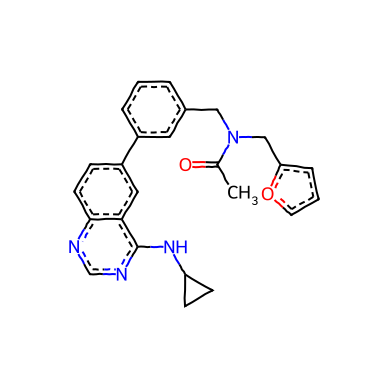 CC(=O)N(Cc1cccc(-c2ccc3ncnc(NC4CC4)c3c2)c1)Cc1ccco1